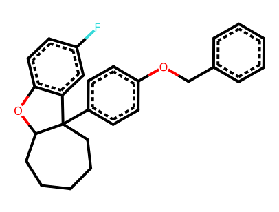 Fc1ccc2c(c1)C1(c3ccc(OCc4ccccc4)cc3)CCCCCC1O2